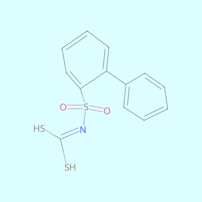 O=S(=O)(N=C(S)S)c1ccccc1-c1ccccc1